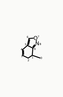 CC1CC=Cc2conc21